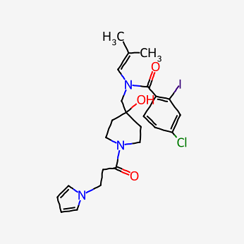 CC(C)=CN(CC1(O)CCN(C(=O)CCn2cccc2)CC1)C(=O)c1ccc(Cl)cc1I